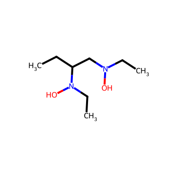 CCC(CN(O)CC)N(O)CC